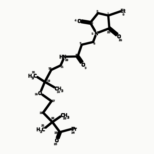 CCC1CC(=O)N(CCC(=O)NCCC(C)(C)OCCC(C)(C)C(=O)C(C)C)C1=O